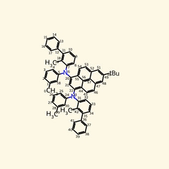 Cc1cccc(N(c2cccc(-c3ccccc3)c2C)c2cc(N(c3cccc(C)c3)c3cccc(-c4ccccc4)c3C)c3ccc4cc(C(C)(C)C)cc5ccc2c3c54)c1